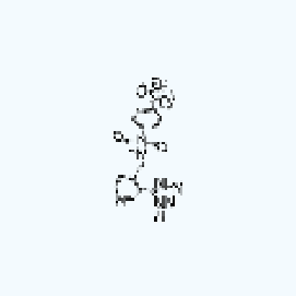 O=C1CN(Cc2ccncc2-c2nnn[nH]2)C(=O)N1c1ccc(S(=O)(=O)C(F)(F)F)cc1